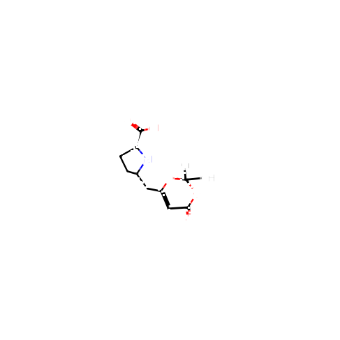 CC1(C)OC(=O)C=C(CC2CC[C@@H](C(=O)O)N2)O1